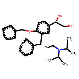 CC(C)N(CC[C@H](c1ccccc1)c1cc([C@@H](O)CO)ccc1OCc1ccccc1)C(C)C